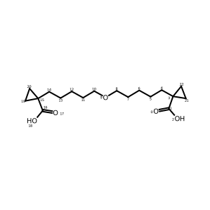 O=C(O)C1(CCCCCOCCCCCC2(C(=O)O)CC2)CC1